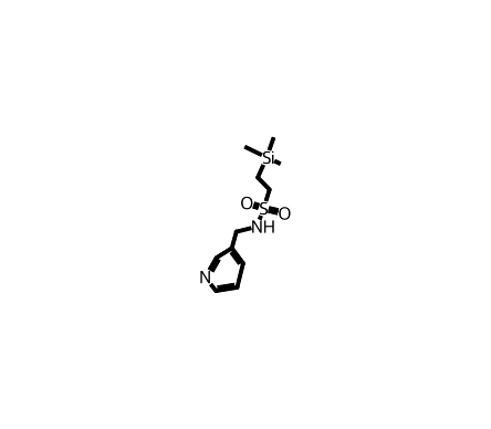 C[Si](C)(C)CCS(=O)(=O)NCc1cccnc1